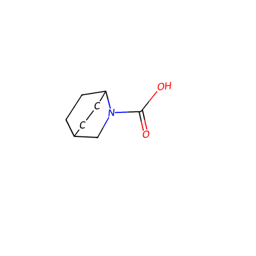 O=C(O)N1CC2CCC1CC2